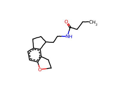 CCCC(=O)NCCC1CCc2ccc3c(c21)CCO3